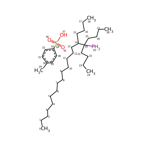 CCCCCCCCCCCCCCC(CCCC)C(P)(CCCC)CCCC.Cc1ccc(S(=O)(=O)O)cc1